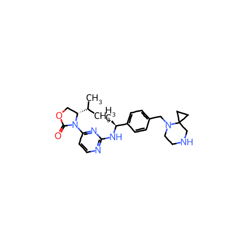 CC(C)[C@H]1COC(=O)N1c1ccnc(N[C@@H](C)c2ccc(CN3CCNCC34CC4)cc2)n1